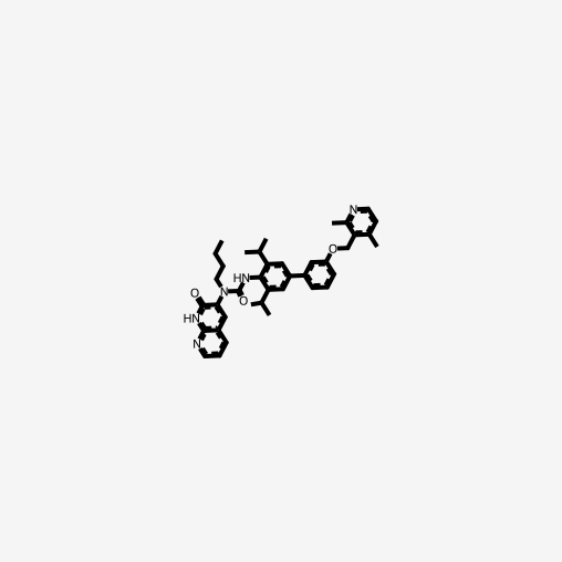 CCCCN(C(=O)Nc1c(C(C)C)cc(-c2cccc(OCc3c(C)ccnc3C)c2)cc1C(C)C)c1cc2cccnc2[nH]c1=O